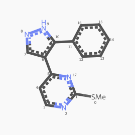 CSc1nccc(-c2cn[nH]c2-c2ccccc2)n1